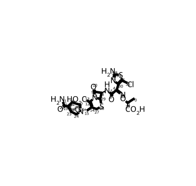 C[C@H](O/N=C(\C(=O)N[C@@H]1C(=O)N2C(C(=O)O)=C(C[N+]34CCC(C(N)=O)(CC3)CC4)CSC12)c1nc(N)sc1Cl)C(=O)O